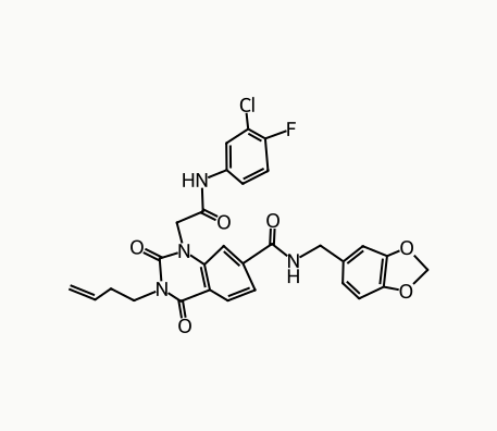 C=CCCn1c(=O)c2ccc(C(=O)NCc3ccc4c(c3)OCO4)cc2n(CC(=O)Nc2ccc(F)c(Cl)c2)c1=O